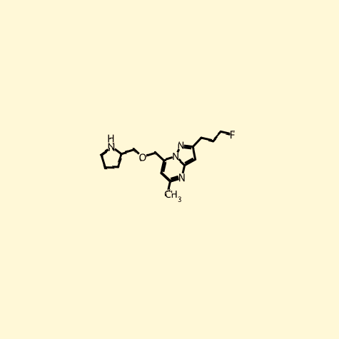 Cc1cc(COCC2CCCN2)n2nc(CCCF)cc2n1